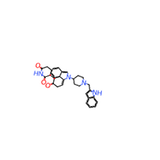 O=C1CCC(C2C(=O)CC=C3N(C4CCN(Cc5cc6ccccc6[nH]5)CC4)C=C4C=CC=CC432)C(=O)N1